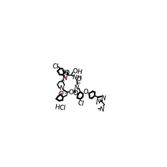 C[C@H]1C(=O)NC(CO)C(=O)N[C@@]2(Cc3ccc(Cl)cc3)CCCN(C2)C(=O)[C@H](Cc2ccccc2)OC(=O)N1Cc1ccc(Cl)cc1Oc1ccc(-c2cnc(CN(C)C)n2C)cc1.Cl